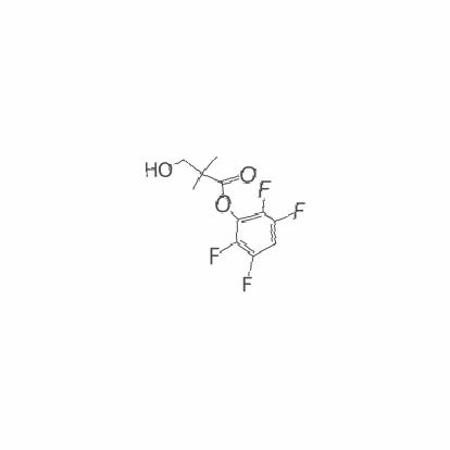 CC(C)(CO)C(=O)Oc1c(F)c(F)cc(F)c1F